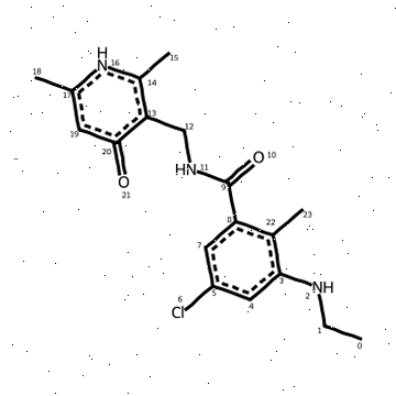 CCNc1cc(Cl)cc(C(=O)NCc2c(C)[nH]c(C)cc2=O)c1C